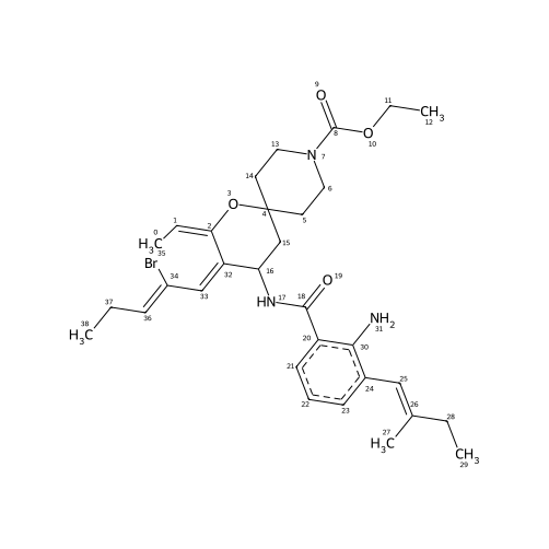 C/C=C1/OC2(CCN(C(=O)OCC)CC2)CC(NC(=O)c2cccc(/C=C(\C)CC)c2N)/C1=C/C(Br)=C/CC